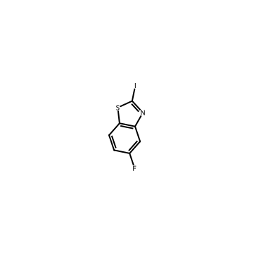 Fc1ccc2sc(I)nc2c1